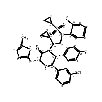 Cc1nnc(C[C@H]2O[C@H](c3cccc(Cl)c3)[C@@H](c3ccc(Cl)cc3)N([C@H](CN(c3ccccc3F)S(=O)(=O)C3CC3)C3CC3)C2=O)o1